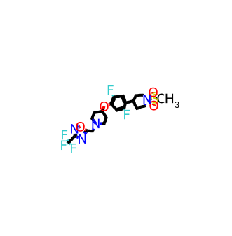 CS(=O)(=O)N1CCC(c2cc(F)c(OC3CCN(Cc4nc(C(F)(F)F)no4)CC3)cc2F)CC1